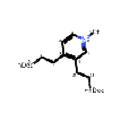 CCCCCCCCCCCCc1cc[n+](CC)cc1CCCCCCCCCCCC